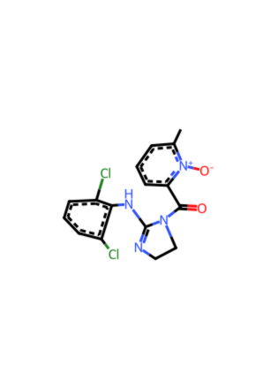 Cc1cccc(C(=O)N2CCN=C2Nc2c(Cl)cccc2Cl)[n+]1[O-]